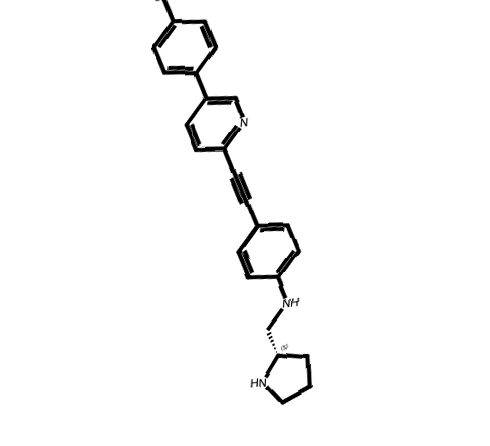 Clc1ccc(-c2ccc(C#Cc3ccc(NC[C@@H]4CCCN4)cc3)nc2)cc1